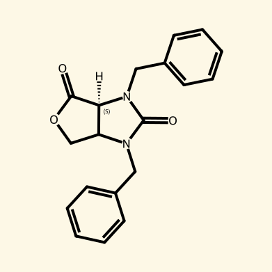 O=C1OCC2[C@@H]1N(Cc1ccccc1)C(=O)N2Cc1ccccc1